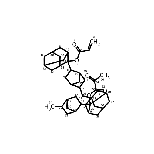 C=CC(=O)OC1(C2CC3CC2CC3CC23CC4CC(C2)C(OC(=O)C(=C)C)(C2CC5CC2CC5C)C(C4)C3)C2CC3CC(C2)CC1C3